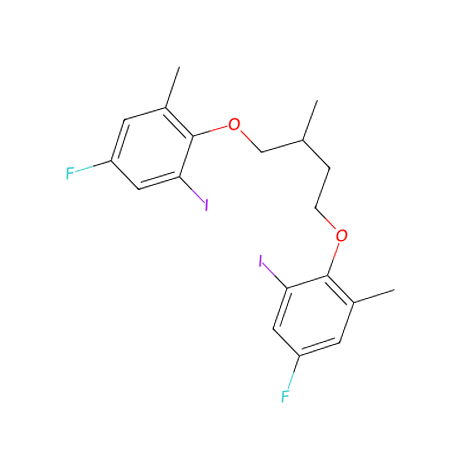 Cc1cc(F)cc(I)c1OCCC(C)COc1c(C)cc(F)cc1I